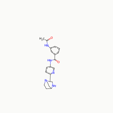 CC(=O)Nc1cccc(C(=O)Nc2ccc(C3CNC4CCN3CC4)nc2)c1